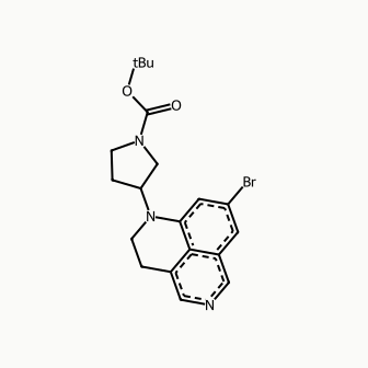 CC(C)(C)OC(=O)N1CCC(N2CCc3cncc4cc(Br)cc2c34)C1